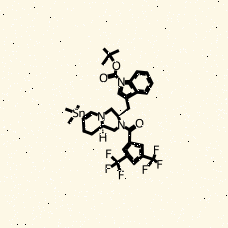 CC(C)(C)OC(=O)n1cc(C[C@@H]2CN3C=[C]([Sn]([CH3])([CH3])[CH3])CC[C@@H]3CN2C(=O)c2cc(C(F)(F)F)cc(C(F)(F)F)c2)c2ccccc21